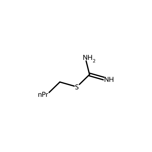 CCCCSC(=N)N